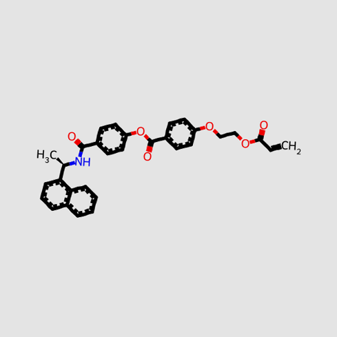 C=CC(=O)OCCOc1ccc(C(=O)Oc2ccc(C(=O)N[C@H](C)c3cccc4ccccc34)cc2)cc1